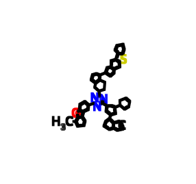 Cc1cccc2c1oc1ccc(-c3nc(-c4cc(-c5cccc6ccccc56)cc(C5C=CC=CC5)c4)nc(C4CCc5c(cccc5-c5ccc6cc7sc8ccccc8c7cc6c5)C4)n3)cc12